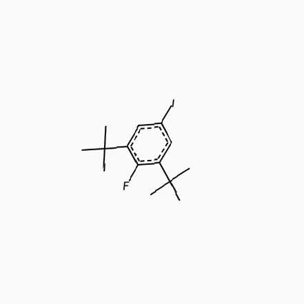 CC(C)(C)c1cc(I)cc(C(C)(C)C)c1F